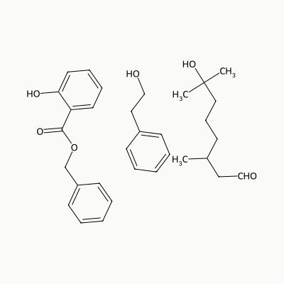 CC(CC=O)CCCC(C)(C)O.O=C(OCc1ccccc1)c1ccccc1O.OCCc1ccccc1